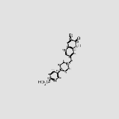 CCc1cc2ncc(CN3CCN(c4ccc(C(=O)O)nc4)CC3)cc2[nH]c1=O